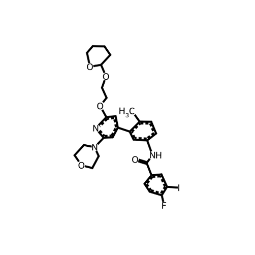 Cc1ccc(NC(=O)c2ccc(F)c(I)c2)cc1-c1cc(OCCOC2CCCCO2)nc(N2CCOCC2)c1